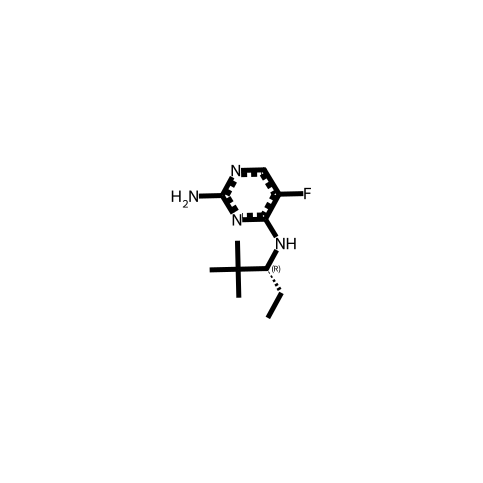 CC[C@@H](Nc1nc(N)ncc1F)C(C)(C)C